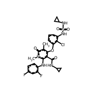 Cc1c(Oc2cccc(NS(=O)(=O)NC3CC3)c2Cl)c(C(=O)NC2CC2)c(Nc2ccc(I)cc2F)n(C)c1=O